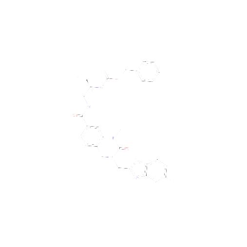 CC(C)NC(=O)N(Cc1ccc(C(=O)NC[C@H](NC(=O)OCc2ccccc2)C(=O)O)cc1)Cc1nc2cc(Cl)ccc2[nH]1